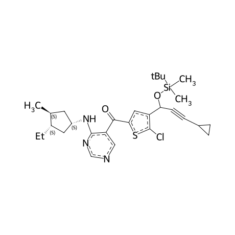 CC[C@H]1C[C@@H](Nc2ncncc2C(=O)c2cc(C(C#CC3CC3)O[Si](C)(C)C(C)(C)C)c(Cl)s2)C[C@@H]1C